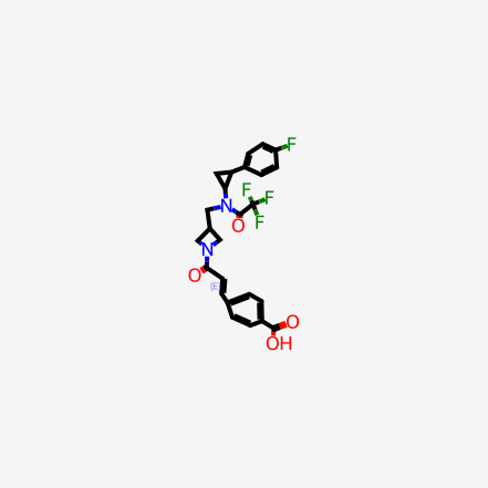 O=C(O)c1ccc(/C=C/C(=O)N2CC(CN(C(=O)C(F)(F)F)C3CC3c3ccc(F)cc3)C2)cc1